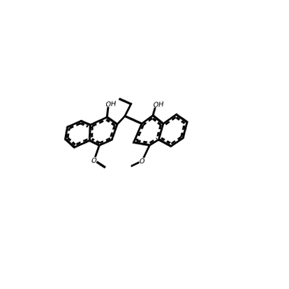 CCC(c1cc(OC)c2ccccc2c1O)c1cc(OC)c2ccccc2c1O